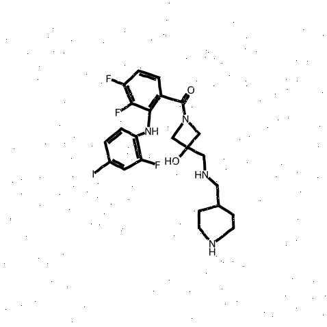 O=C(c1ccc(F)c(F)c1Nc1ccc(I)cc1F)N1CC(O)(CNCC2CCNCC2)C1